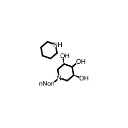 C1CCNCC1.CCCCCCCCCN1C[C@@H](O)C(O)[C@@H](O)C1